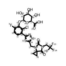 O=C(O)[C@H]1O[C@@H](Oc2c(F)ccc(-c3nnc(CN4C(=O)N(CC(F)(F)F)C(=O)C45CC5)s3)c2Cl)[C@H](O)[C@@H](O)[C@@H]1O